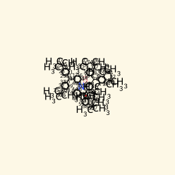 Cc1cc2c(cc1C1c3cc4c(cc3B3c5ccc(C(c6ccc(C(C)(C)C)cc6)c6ccc(C(C)(C)C)cc6)cc5N5c6cccc7c6C(C)(c6cc(C(C)(C)C)ccc6-7)c6c(C(C)(C)C)cc1c3c65)C(C)(C)CC4(C)C)C(C)(C)CCC2(C)C